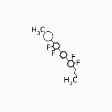 C=CCCc1ccc(-c2ccc(-c3ccc(C4CCCC(C)CCC4)c(F)c3F)cc2)c(F)c1F